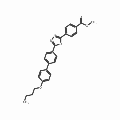 CCCCOc1ccc(-c2ccc(-c3nnc(-c4ccc(C(=O)OC)cc4)o3)cc2)cc1